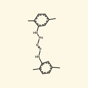 Cc1ccc(C)c(NP=NPNc2cc(C)ccc2C)c1